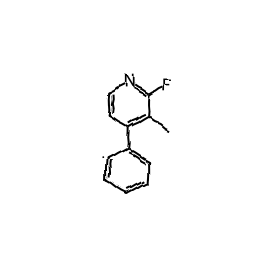 Cc1c(-c2[c]cccc2)ccnc1F